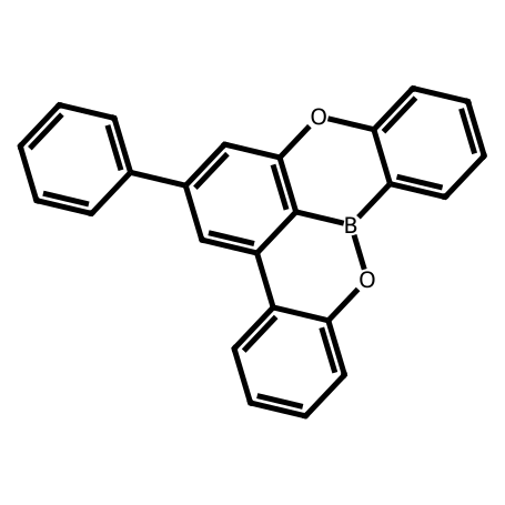 c1ccc(-c2cc3c4c(c2)-c2ccccc2OB4c2ccccc2O3)cc1